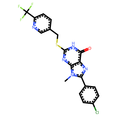 Cn1c(-c2ccc(Cl)cc2)nc2c(=O)[nH]c(SCc3ccc(C(F)(F)F)nc3)nc21